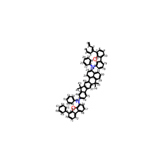 C=C/C=C(\C=C/C)c1cccc2c1oc1c(N(c3ccccc3)c3ccc4c5c(cccc35)C(C)(C)c3cc5c(cc3-4)C(C)(C)c3cc(N(c4ccccc4)c4cccc6c4oc4c(-c7ccccc7)cccc46)ccc3-5)cccc12